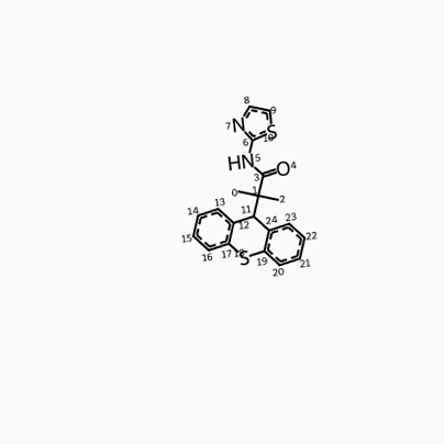 CC(C)(C(=O)Nc1nccs1)C1c2ccccc2Sc2ccccc21